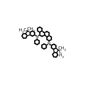 CC1(C)c2ccccc2-c2cc(N(c3ccccc3)c3ccc4ccc5c6ccccc6c(N(c6ccccc6)c6ccc7c(c6)-c6ccccc6C7(C)C)cc5c4c3)ccc21